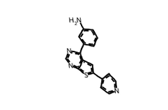 Nc1cccc(-c2ncnc3sc(-c4ccncc4)cc23)c1